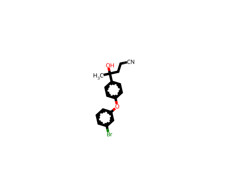 CC(O)(CCC#N)c1ccc(Oc2cccc(Br)c2)cc1